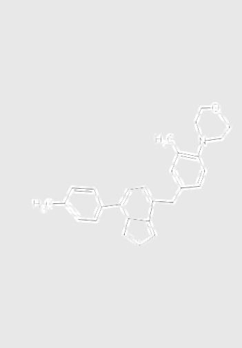 Cc1ccc(C2=CC=C(Cc3ccc(N4CCOCC4)c(C)c3)C3=CC=CC32)cc1